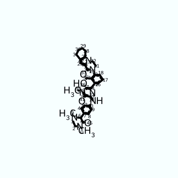 CN1CCN(C)C(c2ccc(Nc3nc(-c4cccc(N5CCn6c(cc7c6CCCC7)C5=O)c4CO)cn(C)c3=O)cc2)C1=O